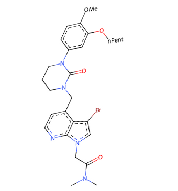 CCCCCOc1cc(N2CCCN(Cc3ccnc4c3c(Br)cn4CC(=O)N(C)C)C2=O)ccc1OC